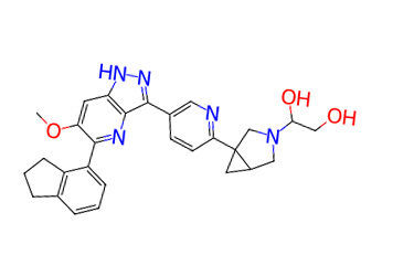 COc1cc2[nH]nc(-c3ccc(C45CC4CN(C(O)CO)C5)nc3)c2nc1-c1cccc2c1CCC2